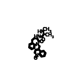 CN[C@@H](C)C(=O)N[C@H]1CCc2ccccc2N(Cc2cc[n+]([O-])c3ccccc23)C1=O